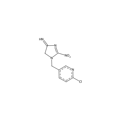 N=C1CN(Cc2ccc(Cl)nc2)C([N+](=O)[O-])=N1